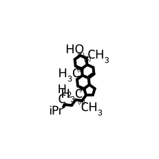 C=C(CC[C@@H](C)C1CCC2C3=CCC4[C@H](C)[C@@H](O)CC[C@]4(C)C3CC[C@@]21C)C(C)C